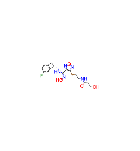 O=C(CCO)NCCSc1nonc1/C(=N/O)NC[C@H]1Cc2ccc(F)cc21